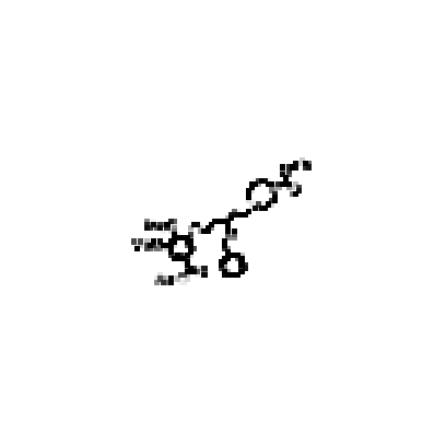 COC(=O)c1cc(OC)c(OC)c(OCCC(CCN2CCCN(C(=O)OC(C)(C)C)CC2)OCc2ccccc2)c1